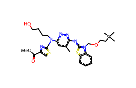 COC(=O)c1csc(N(CCCCO)c2cc(C)c(/N=c3\sc4ccccc4n3COCC[Si](C)(C)C)nn2)n1